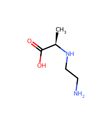 C[C@@H](NCCN)C(=O)O